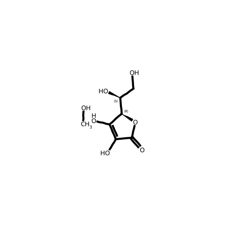 CO.O=C1O[C@H]([C@@H](O)CO)C(O)=C1O